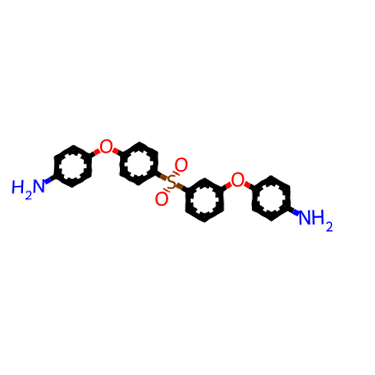 Nc1ccc(Oc2ccc(S(=O)(=O)c3cccc(Oc4ccc(N)cc4)c3)cc2)cc1